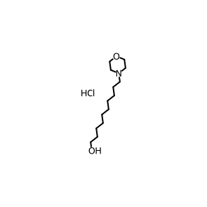 Cl.OCCCCCCCCCCN1CCOCC1